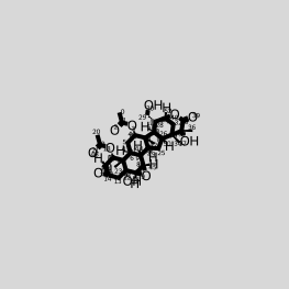 CC(=O)O[C@H]1C[C@H]2[C@@H]([C@@H]3O[C@@H]3[C@@]3(O)C[C@@H]4O[C@@H]4[C@H](OC(C)=O)[C@]23C)[C@@H]2C[C@@H]3[C@H]([C@H](CO)[C@H]4C[C@]3(C)[C@@](C)(O)C(=O)O4)[C@@]12C